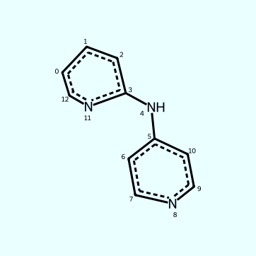 c1ccc(Nc2ccncc2)nc1